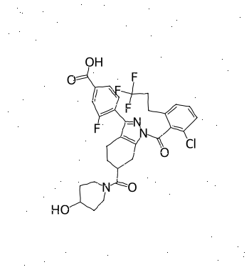 O=C(O)c1ccc(-c2nn(C(=O)c3c(Cl)cccc3CCC(F)(F)F)c3c2CCC(C(=O)N2CCC(O)CC2)C3)c(F)c1